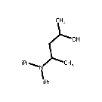 CC(O)CC(C)N(C(C)C)C(C)C